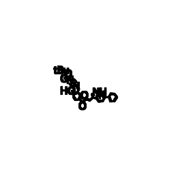 CC(C)(C)OC(=O)N1CCN(Cc2c(O)ccc3c2O/C(=C\c2c[nH]c4nc(-c5ccccc5)ccc24)C3=O)CC1